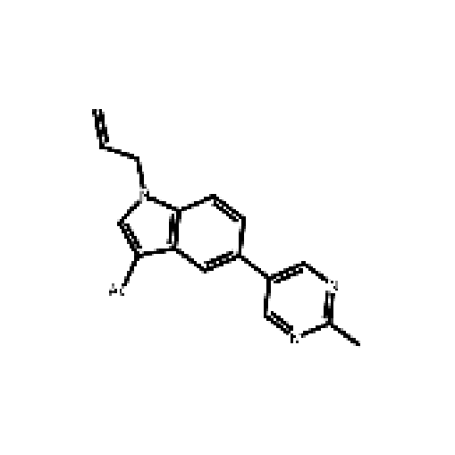 C=CCn1cc(C(C)=O)c2cc(-c3cnc(C)nc3)ccc21